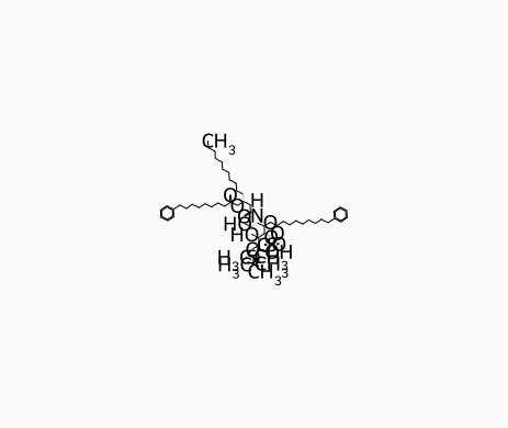 CCCCCCCCCCC[C@H](CC(=O)N[C@@H](CO)[C@@H](OC(=O)CCCCCCCCc1ccccc1)[C@H](OS(=O)(=O)O)[C@H](O)CO[Si](C)(C)C(C)(C)C)OC(=O)CCCCCCCCc1ccccc1